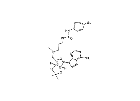 CN(CCCNC(=O)Nc1ccc(C(C)(C)C)cc1)C[C@H]1O[C@@H](n2cnc3c(N)ncnc32)[C@@H]2OC(C)(C)O[C@@H]21